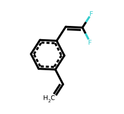 C=Cc1cccc(C=C(F)F)c1